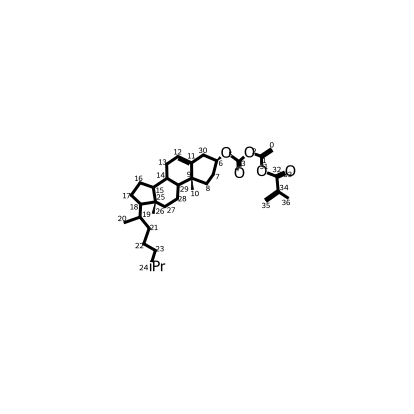 C=C(OC(=O)O[C@H]1CC[C@@]2(C)C(=CCC3C4CCC(C(C)CCCC(C)C)[C@@]4(C)CCC32)C1)OC(=O)C(=C)C